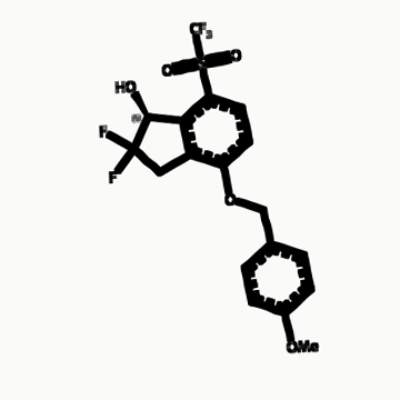 COc1ccc(COc2ccc(S(=O)(=O)C(F)(F)F)c3c2CC(F)(F)[C@H]3O)cc1